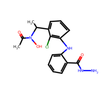 CC(=O)N(O)C(C)c1cccc(Nc2ccccc2C(=O)NN)c1Cl